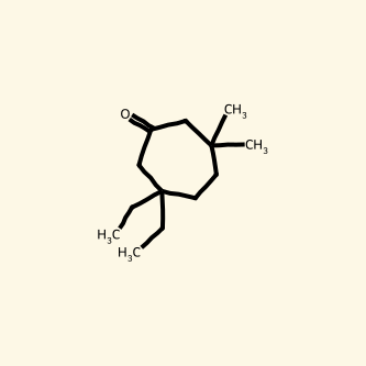 CCC1(CC)CCC(C)(C)CC(=O)C1